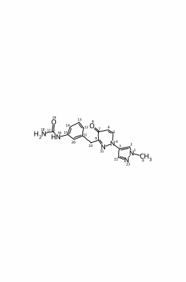 Cn1cc(-n2ccc(=O)c(Cc3cccc(NC(N)=O)c3)n2)cn1